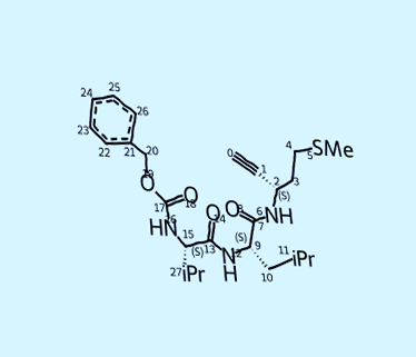 C#C[C@H](CCSC)NC(=O)[C@H](CC(C)C)NC(=O)[C@@H](NC(=O)OCc1ccccc1)C(C)C